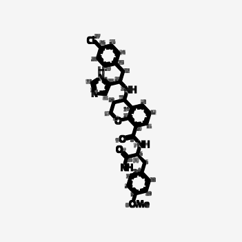 COc1ccc(C[C@H](NC(=O)c2cccc3c2OCCC3NC(Cc2ccc(Cl)cc2)c2cnc[nH]2)C(N)=O)cc1